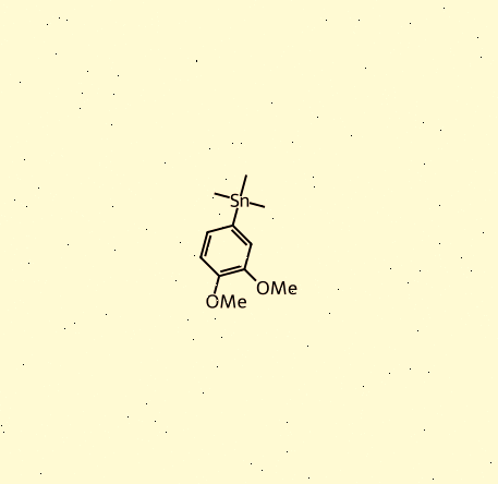 COc1cc[c]([Sn]([CH3])([CH3])[CH3])cc1OC